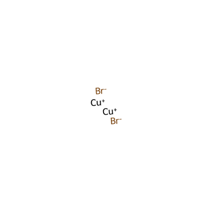 [Br-].[Br-].[Cu+].[Cu+]